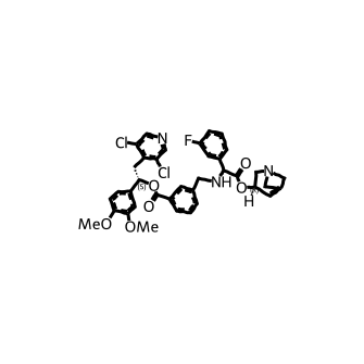 COc1ccc([C@H](Cc2c(Cl)cncc2Cl)OC(=O)c2cccc(CNC(C(=O)O[C@@H]3C=C4CN(C4)C3)c3cccc(F)c3)c2)cc1OC